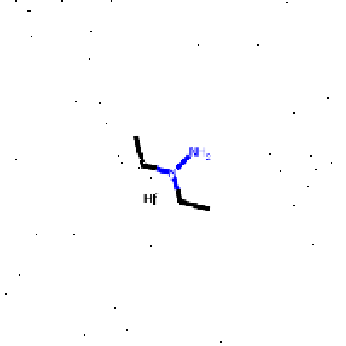 CCN(N)CC.[Hf]